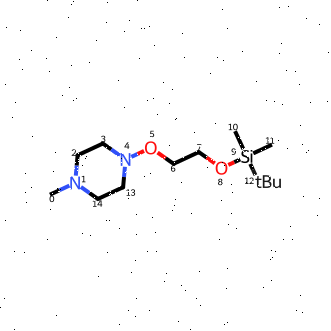 CN1CCN(OCCO[Si](C)(C)C(C)(C)C)CC1